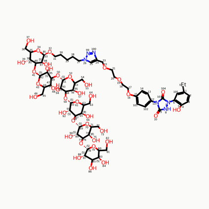 CCc1ccc(O)c(-n2[nH]c(=O)n(-c3ccc(OCCOCCOCc4cn(CCCCCO[C@@H]5OC(CO)[C@@H](O)C(O[C@@H]6OC(CO)[C@@H](O)C(O[C@@H]7OC(CO)[C@@H](O)C(O[C@@H]8OC(CO)[C@@H](O)C(O[C@@H]9OC(CO)[C@@H](O)C(O[C@@H]%10OC(CO)[C@@H](O)C(O)[C@@H]%10O)[C@@H]9O)[C@@H]8O)[C@@H]7O)[C@@H]6O)[C@@H]5O)nn4)cc3)c2=O)c1